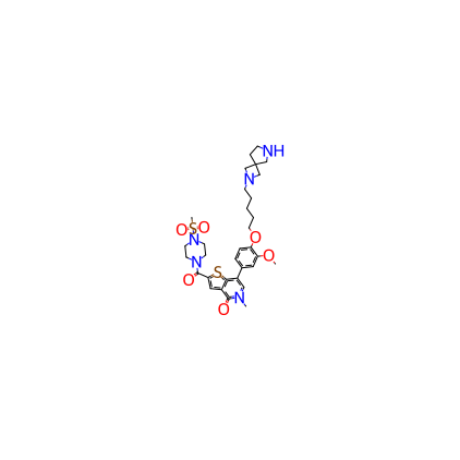 COc1cc(-c2cn(C)c(=O)c3cc(C(=O)N4CCN(S(C)(=O)=O)CC4)sc23)ccc1OCCCCCN1CC2(CCNC2)C1